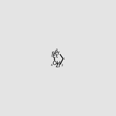 CCC[CH2][Zr].CCO